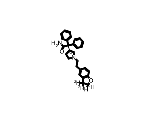 [2H]C1([2H])Oc2ccc(CCN3CC[C@@H](C(C(N)=O)(c4ccccc4)c4ccccc4)C3)cc2C1([2H])[2H]